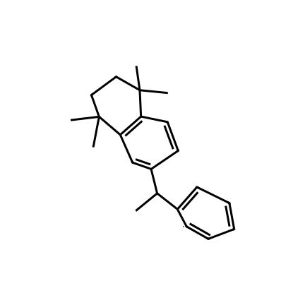 CC(c1[c]cccc1)c1ccc2c(c1)C(C)(C)CCC2(C)C